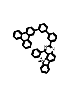 C[Si]1(C)c2ccccc2-c2ccc3nc(-c4cccc(-c5cccc(-c6ccc7c8ccccc8c8ccccc8c7c6)c5)c4)nc(-c4ccccc4)c3c21